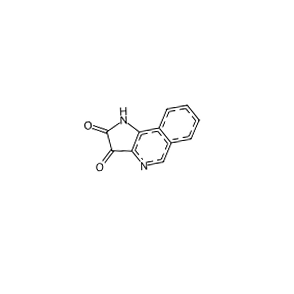 O=C1Nc2c(ncc3ccccc23)C1=O